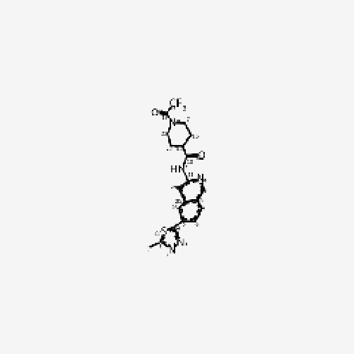 Cc1nnc(-c2ccc3cnc(NC(=O)C4CCN(C(=O)C(F)(F)F)CC4)cc3c2)s1